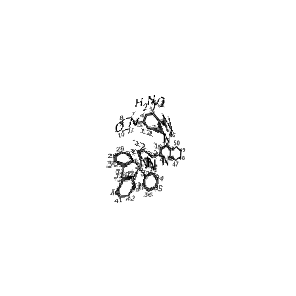 NC(=O)c1cc(N2CCOCC2)cc2c1ncn2-c1cc(-c2ccn(C(c3ccccc3)(c3ccccc3)c3ccccc3)n2)nc2ccccc12